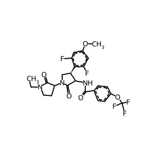 CCN1CCC(N2C[C@@H](c3c(F)cc(OC)cc3F)C(NC(=O)c3ccc(OC(F)(F)F)cc3)C2=O)C1=O